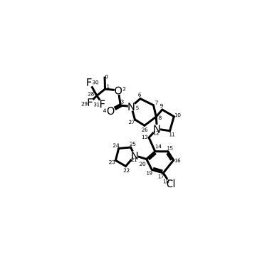 CC(OC(=O)N1CCC2(CCCN2Cc2ccc(Cl)cc2N2CCCC2)CC1)C(F)(F)F